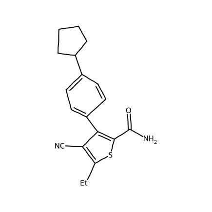 CCc1sc(C(N)=O)c(-c2ccc(C3CCCC3)cc2)c1C#N